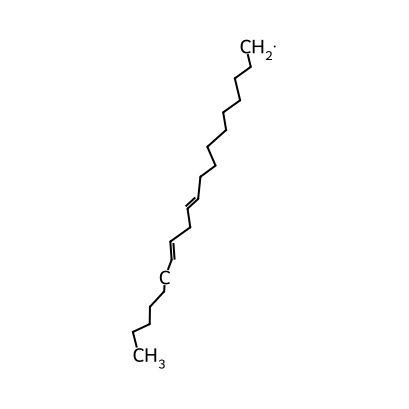 [CH2]CCCCCCCC/C=C/C/C=C/CCCCCC